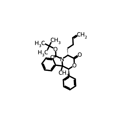 C=CCC[C@@H]1C(=O)O[C@@H](c2ccccc2)C(C)(c2ccccc2)N1C(=O)OC(C)(C)C